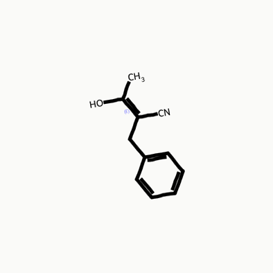 C/C(O)=C(\C#N)Cc1ccccc1